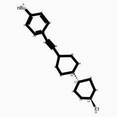 CCCCc1ccc(C#CC2CCC([C@H]3CC[C@H](CC)CC3)CC2)cc1